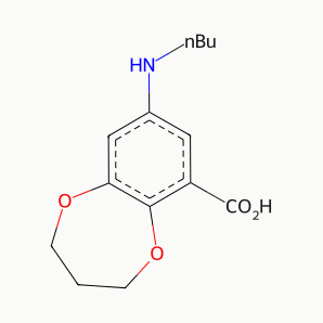 CCCCNc1cc2c(c(C(=O)O)c1)OCCCO2